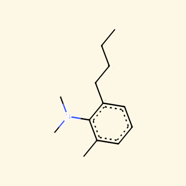 CCCCc1cccc(C)c1N(C)C